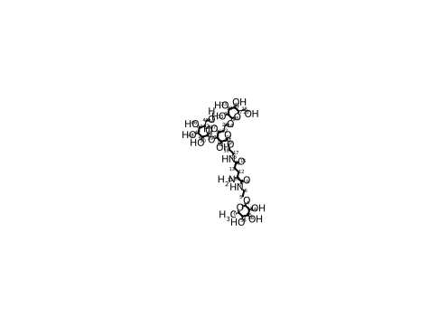 C[C@@H]1O[C@@H](OCCNC(=O)[C@@H](N)CCC(=O)NCCO[C@H]2O[C@H](CO[C@H]3O[C@H](CO)[C@@H](O)[C@H](O)[C@@H]3O)[C@@H](O)[C@H](O[C@H]3O[C@H](CO)[C@@H](O)[C@H](O)[C@@H]3O)[C@@H]2O)[C@@H](O)[C@H](O)[C@@H]1O